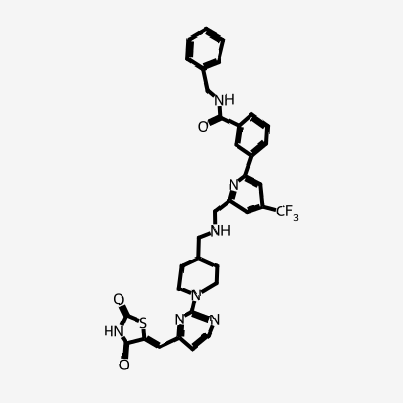 O=C1NC(=O)C(=Cc2ccnc(N3CCC(CNCc4cc(C(F)(F)F)cc(-c5cccc(C(=O)NCc6ccccc6)c5)n4)CC3)n2)S1